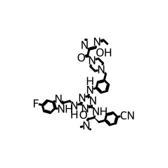 C=N/C(C(=O)N1CCN(Cc2cccc(Nc3nc(NCc4nc5cc(F)ccc5[nH]4)nc(N[C@@H](Cc4ccc(C#N)cc4)C(=O)N(C)C)n3)c2)CC1)=C(O)\N=C/C